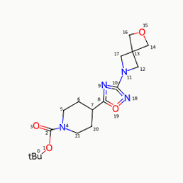 CC(C)(C)OC(=O)N1CCC(c2nc(N3CC4(COC4)C3)no2)CC1